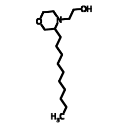 CCCCCCCCCCC1COCCN1CCO